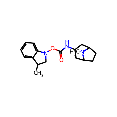 CC1CN(OC(=O)NC2CC3CCC(C2)N3C)c2ccccc21